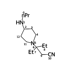 CCCNC1CCN(C(CC)(CC)CC#N)CC1